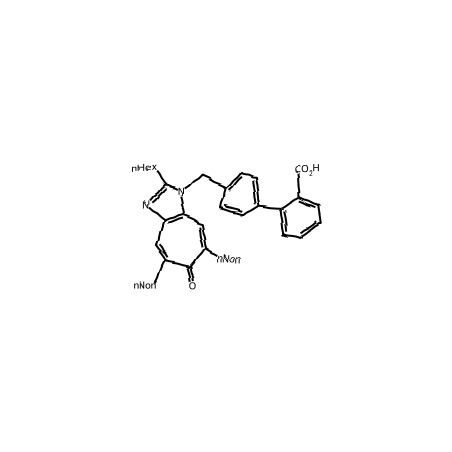 CCCCCCCCCc1cc2nc(CCCCCC)n(Cc3ccc(-c4ccccc4C(=O)O)cc3)c2cc(CCCCCCCCC)c1=O